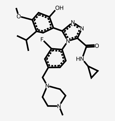 COc1cc(O)c(-c2nnc(C(=O)NC3CC3)n2-c2ccc(CN3CCN(C)CC3)cc2F)cc1C(C)C